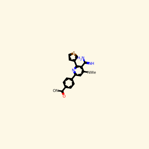 CNc1cc(-c2ccc(C(=O)N=O)cc2)nc(-c2ccsc2)c1C(=N)N